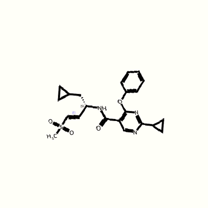 CS(=O)(=O)/C=C/[C@H](CC1CC1)NC(=O)c1cnc(C2CC2)nc1Oc1ccccc1